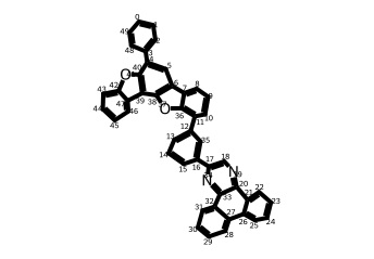 c1ccc(-c2cc3c4cccc(-c5cccc(-c6cnc7c8ccccc8c8ccccc8c7n6)c5)c4oc3c3c2oc2ccccc23)cc1